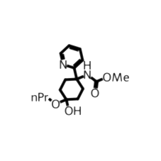 CCCOC1(O)CCC(NC(=O)OC)(c2ccccn2)CC1